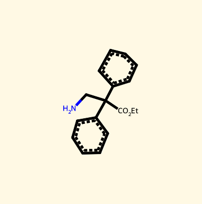 CCOC(=O)C(CN)(c1ccccc1)c1ccccc1